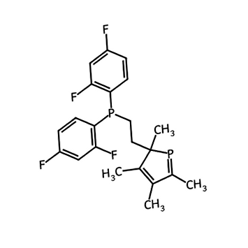 CC1=PC(C)(CCP(c2ccc(F)cc2F)c2ccc(F)cc2F)C(C)=C1C